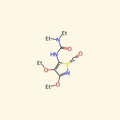 CCOC1=NS(=C=O)C(NC(=O)N(CC)CC)=C1OCC